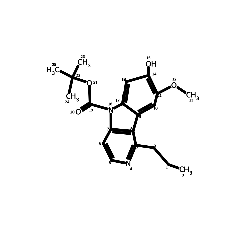 CCCc1nccc2c1c1cc(OC)c(O)cc1n2C(=O)OC(C)(C)C